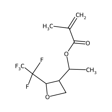 C=C(C)C(=O)OC(C)C1COC1C(F)(F)C(F)(F)F